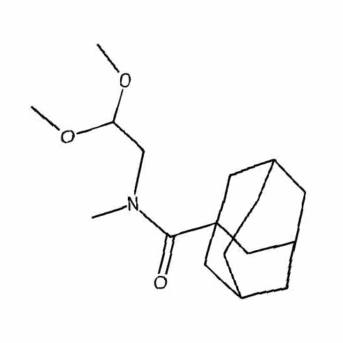 COC(CN(C)C(=O)C12CC3CC(CC(C3)C1)C2)OC